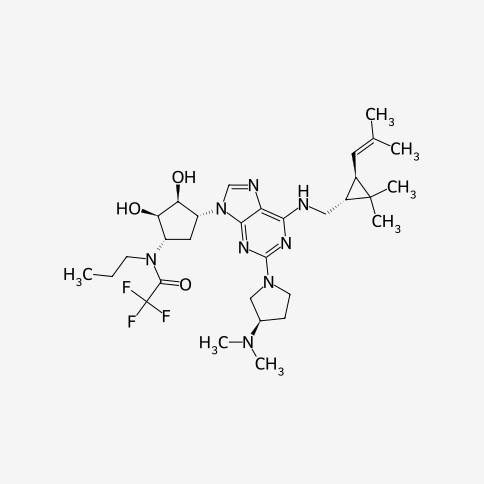 CCCN(C(=O)C(F)(F)F)[C@H]1C[C@@H](n2cnc3c(NC[C@@H]4[C@@H](C=C(C)C)C4(C)C)nc(N4CC[C@@H](N(C)C)C4)nc32)[C@H](O)[C@@H]1O